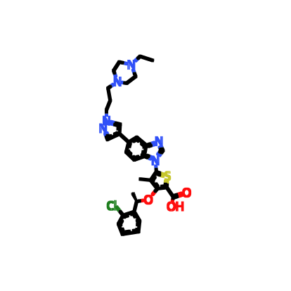 CCN1CCN(CCCn2cc(-c3ccc4c(c3)ncn4-c3sc(C(=O)O)c(O[C@H](C)c4ccccc4Cl)c3C)cn2)CC1